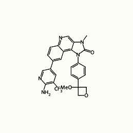 COC1(c2ccc(-n3c(=O)n(C)c4cnc5ccc(-c6cnc(N)c(C(F)(F)F)c6)cc5c43)cc2)COC1